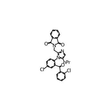 CCCc1cnc(CN2C(=O)c3ccccc3C2=O)n1-c1ccc(Cl)cc1C(=O)c1ccccc1Cl